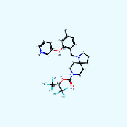 Cc1ccc(CN2CCCC23CCN(C(=O)OC(C(F)(F)F)C(F)(F)F)CC3)c(Oc2cccnc2)c1